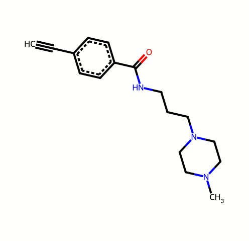 C#Cc1ccc(C(=O)NCCCN2CCN(C)CC2)cc1